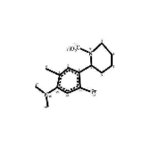 Cc1cc(C2CCCCN2C(=O)O)c(C(C)C)cc1N(C)C